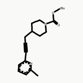 Cc1cccc(C#CCC2CCN(C(=O)OC(C)(C)C)CC2)n1